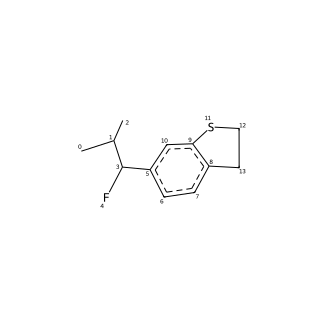 CC(C)C(F)c1ccc2c(c1)SCC2